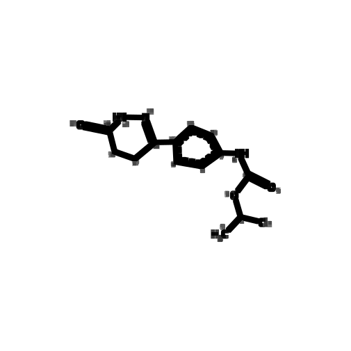 CC(Cl)OC(=O)Nc1ccc(C2=NNC(=O)CC2)cc1